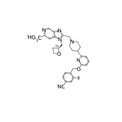 N#Cc1ccc(COc2cccc(C3CCN(Cc4nc5cnc(C(=O)O)cc5n4C[C@@H]4CCO4)CC3)n2)c(F)c1